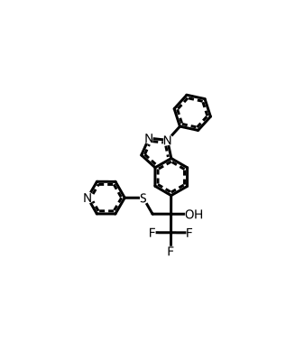 OC(CSc1ccncc1)(c1ccc2c(cnn2-c2ccccc2)c1)C(F)(F)F